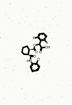 O=C(O)C(OC(=O)[C@@H]1CCCC[C@@H]1C(=O)Nc1ccccc1Cl)c1c(F)cccc1F